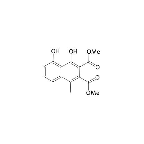 COC(=O)c1c(C(=O)OC)c(O)c2c(O)cccc2c1C